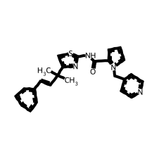 CC(C)(C=Cc1ccccc1)c1csc(NC(=O)c2cccn2Cc2ccncc2)n1